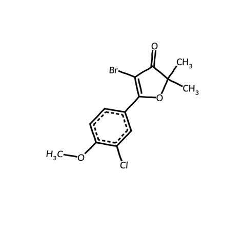 COc1ccc(C2=C(Br)C(=O)C(C)(C)O2)cc1Cl